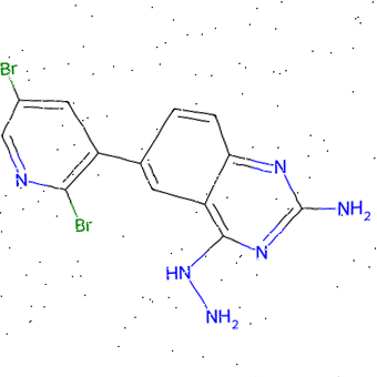 NNc1nc(N)nc2ccc(-c3cc(Br)cnc3Br)cc12